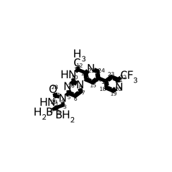 BC1(B)CN(c2ccnc(NC(C)c3ccc(-c4ccnc(C(F)(F)F)c4)cn3)n2)C(=O)N1